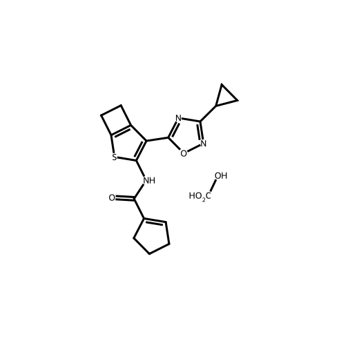 O=C(Nc1sc2c(c1-c1nc(C3CC3)no1)CC2)C1=CCCC1.O=C(O)O